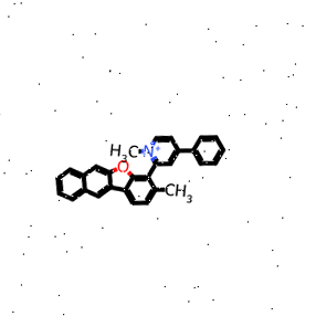 Cc1ccc2c(oc3cc4ccccc4cc32)c1-c1cc(-c2ccccc2)cc[n+]1C